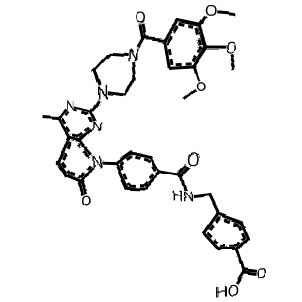 COc1cc(C(=O)N2CCN(c3nc(C)c4ccc(=O)n(-c5ccc(C(=O)NCc6ccc(C(=O)O)cc6)cc5)c4n3)CC2)cc(OC)c1OC